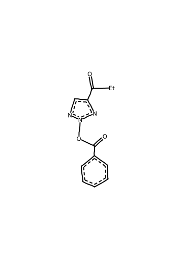 CCC(=O)c1cnn(OC(=O)c2ccccc2)n1